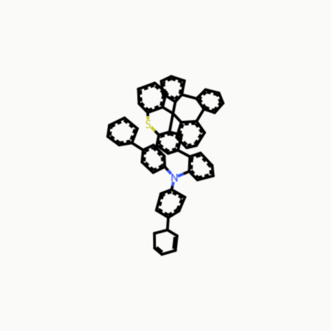 C1=CCC(c2ccc(N(c3ccc(-c4ccccc4)cc3)c3ccccc3-c3ccc4c(c3)C3(c5ccccc5S4)c4ccccc4-c4ccccc4-c4ccccc43)cc2)C=C1